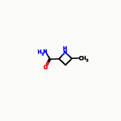 CC1CC(C(N)=O)N1